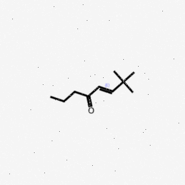 CCCC(=O)/C=C/C(C)(C)C